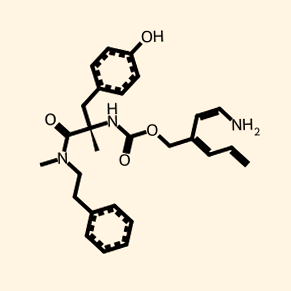 C=C/C=C(\C=C/N)COC(=O)N[C@@](C)(Cc1ccc(O)cc1)C(=O)N(C)CCc1ccccc1